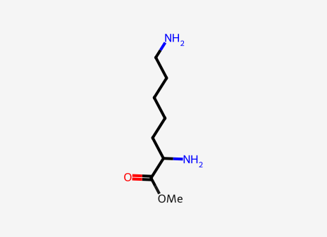 [CH2]OC(=O)C(N)CCCCCN